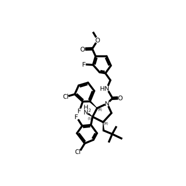 COC(=O)c1ccc(CNC(=O)N2C[C@@H](CC(C)(C)C)[C@](N)(c3ccc(Cl)cc3F)[C@H]2c2cccc(Cl)c2F)cc1F